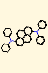 C1=CCCC(N(C2=CCCC=C2)c2ccc3ccc4c(N(c5ccccc5)c5ccccc5)ccc5ccc2c3c54)=C1